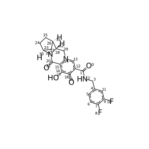 O=C(NCc1ccc(F)c(F)c1)c1cn2c(c(O)c1=O)C(=O)N1[C@H]3CC[C@H](C3)[C@@H]1C2